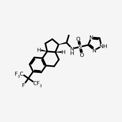 CC(NS(=O)(=O)c1nc[nH]n1)[C@@H]1CC[C@H]2c3ccc(C(F)(C(F)(F)F)C(F)(F)F)cc3CC[C@H]21